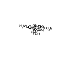 COC[C@H](NC(=O)c1ccc(C=NN)cc1)C(=O)c1ccc(OCC(=O)O)cc1.O=C(O)C(F)(F)F